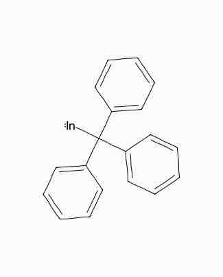 [In][C](c1ccccc1)(c1ccccc1)c1ccccc1